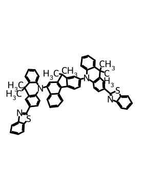 CC1(C)c2ccccc2N(c2ccc3c(c2)C(C)(C)c2cc(N4c5ccccc5C(C)(C)c5cc(-c6nc7ccccc7s6)ccc54)c4ccccc4c2-3)c2ccc(-c3nc4ccccc4s3)cc21